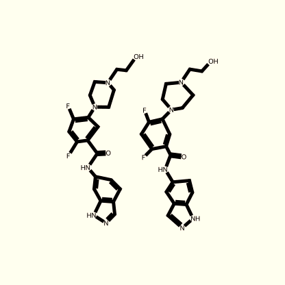 O=C(Nc1ccc2[nH]ncc2c1)c1cc(N2CCN(CCO)CC2)c(F)cc1F.O=C(Nc1ccc2cn[nH]c2c1)c1cc(N2CCN(CCO)CC2)c(F)cc1F